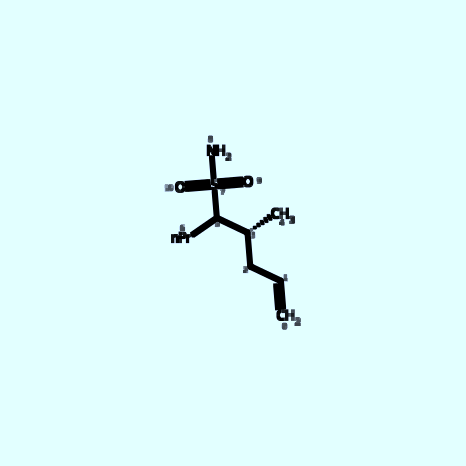 C=CC[C@@H](C)C(CCC)S(N)(=O)=O